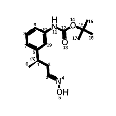 C[C@H](CC=NO)c1cccc(NC(=O)OC(C)(C)C)c1